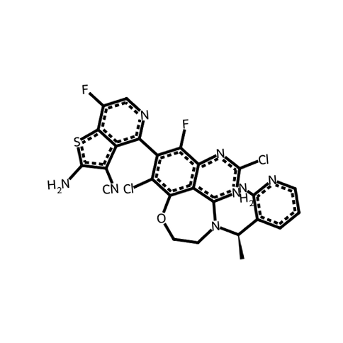 C[C@H](c1cccnc1N)N1CCOc2c(Cl)c(-c3ncc(F)c4sc(N)c(C#N)c34)c(F)c3nc(Cl)nc1c23